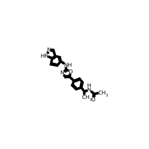 CC(=O)NC(C)c1ccc(-c2cnc(Nc3ccc4[nH]ncc4c3)o2)cc1